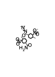 Cc1ccc(C(=O)N=CN(C)C)cc1[N+](=O)[O-].Cc1ccc(C(N)=O)cc1[N+](=O)[O-]